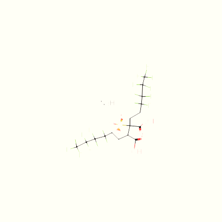 O=C(O)C(CCC(F)(F)C(F)(F)C(F)(F)C(F)(F)F)C(CCC(F)(F)C(F)(F)C(F)(F)C(F)(F)F)(C(=O)O)S(=O)(=O)O.[NaH]